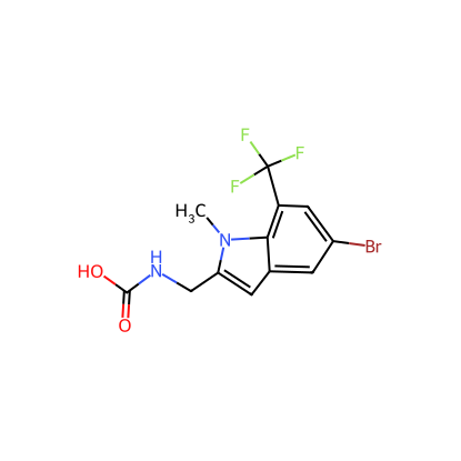 Cn1c(CNC(=O)O)cc2cc(Br)cc(C(F)(F)F)c21